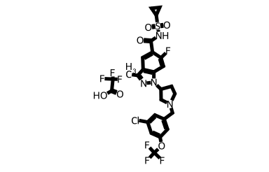 Cc1nn(C2CCN(Cc3cc(Cl)cc(OC(F)(F)F)c3)C2)c2cc(F)c(C(=O)NS(=O)(=O)C3CC3)cc12.O=C(O)C(F)(F)F